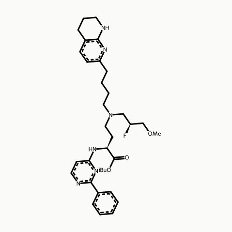 COC[C@@H](F)CN(CCCCc1ccc2c(n1)NCCC2)CC[C@H](Nc1ccnc(-c2ccccc2)n1)C(=O)OCC(C)C